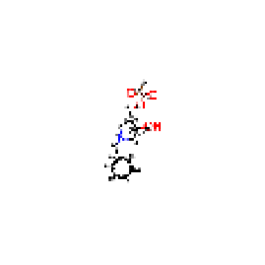 CS(=O)(=O)OC[C@H]1CN(Cc2ccccc2)C[C@@H]1O